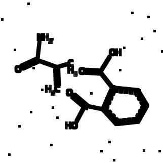 C=C(C)C(N)=O.O=C(O)c1ccccc1C(=O)O